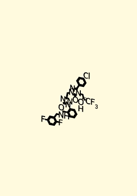 O=C(NCc1cc(F)ccc1F)c1ccccc1-n1cnc(Cn2nc(-c3ccc(Cl)cc3)n(C[C@H](O)C(F)(F)F)c2=O)n1